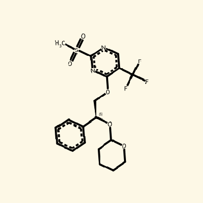 CS(=O)(=O)c1ncc(C(F)(F)F)c(OC[C@@H](OC2CCCCO2)c2ccccc2)n1